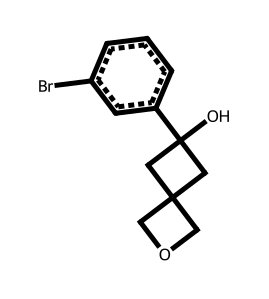 OC1(c2cccc(Br)c2)CC2(COC2)C1